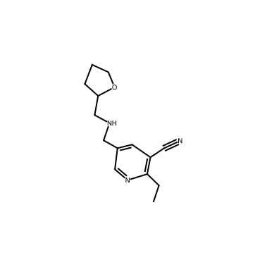 CCc1ncc(CNCC2CCCO2)cc1C#N